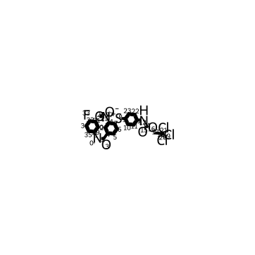 CN(C(=O)c1ccc(Sc2ccc(NC(=O)OCC(Cl)(Cl)Cl)cc2)c([N+](=O)[O-])c1)c1ccc(F)cc1